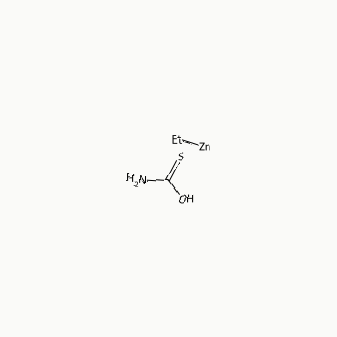 C[CH2][Zn].NC(O)=S